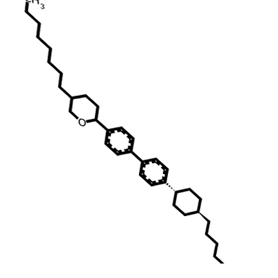 CCCCCCCCC1CCC(c2ccc(-c3ccc([C@H]4CC[C@H](CCCCCC)CC4)cc3)cc2)OC1